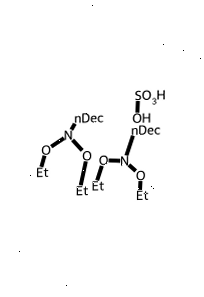 CCCCCCCCCCN(OCC)OCC.CCCCCCCCCCN(OCC)OCC.O=S(=O)(O)O